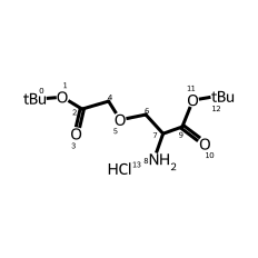 CC(C)(C)OC(=O)COCC(N)C(=O)OC(C)(C)C.Cl